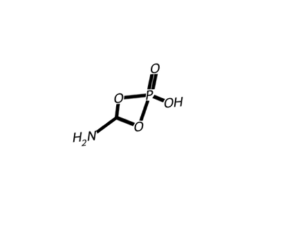 NC1OP(=O)(O)O1